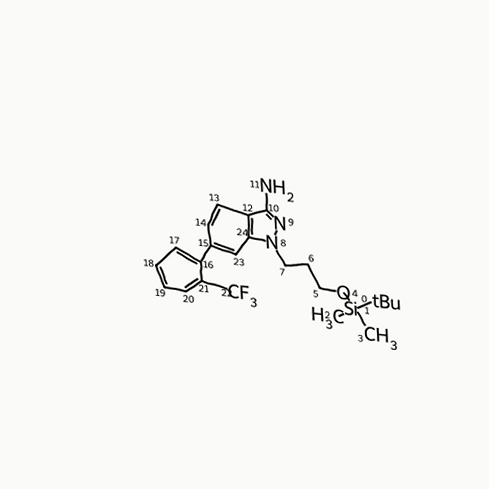 CC(C)(C)[Si](C)(C)OCCCn1nc(N)c2ccc(-c3ccccc3C(F)(F)F)cc21